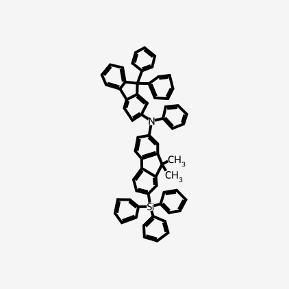 CC1(C)c2cc(N(c3ccccc3)c3ccc4c(c3)C(c3ccccc3)(c3ccccc3)c3ccccc3-4)ccc2-c2ccc([Si](c3ccccc3)(c3ccccc3)c3ccccc3)cc21